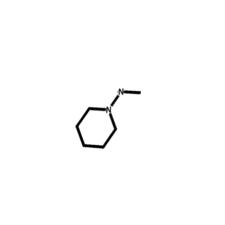 C[N]N1CCCCC1